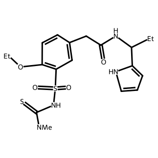 CCOc1ccc(CC(=O)NC(CC)c2ccc[nH]2)cc1S(=O)(=O)NC(=S)NC